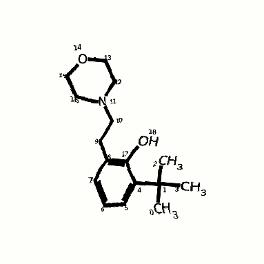 CC(C)(C)c1cccc(CCN2CCOCC2)c1O